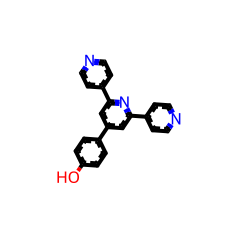 Oc1ccc(-c2cc(-c3ccncc3)nc(-c3ccncc3)c2)cc1